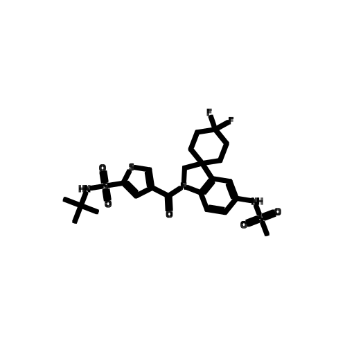 CC(C)(C)NS(=O)(=O)c1cc(C(=O)N2CC3(CCC(F)(F)CC3)c3cc(NS(C)(=O)=O)ccc32)cs1